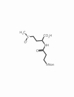 CCCCCCCCCCCC(=O)NC(CC[S+](C)[O-])C(=O)O